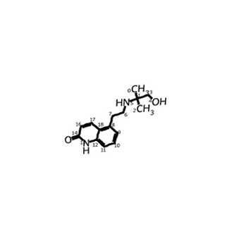 CC(C)(CO)NCCc1cccc2[nH]c(=O)ccc12